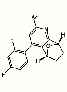 CC(=O)c1cc(-c2ccc(F)cc2F)c2c(n1)[C@@H]1CC[C@H]2O1